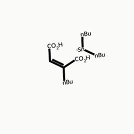 CCCC/C(=C/C(=O)O)C(=O)O.CCC[CH2][Sn][CH2]CCC